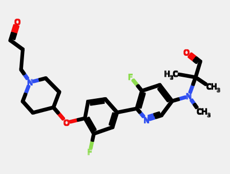 CN(c1cnc(-c2ccc(OC3CCN(CCC=O)CC3)c(F)c2)c(F)c1)C(C)(C)C=O